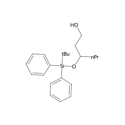 CCCC(CCO)O[Si](c1ccccc1)(c1ccccc1)C(C)(C)C